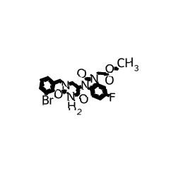 CCOC(=O)Cn1c(=O)n(C(CN(C=O)Cc2cccc(Br)c2)C(N)=O)c2ccc(F)cc21